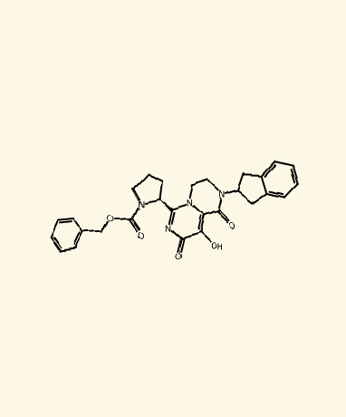 O=C1c2c(O)c(=O)nc([C@@H]3CCCN3C(=O)OCc3ccccc3)n2CCN1C1Cc2ccccc2C1